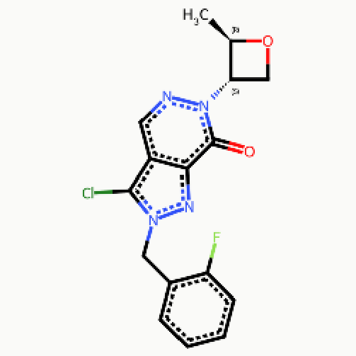 C[C@H]1OC[C@@H]1n1ncc2c(Cl)n(Cc3ccccc3F)nc2c1=O